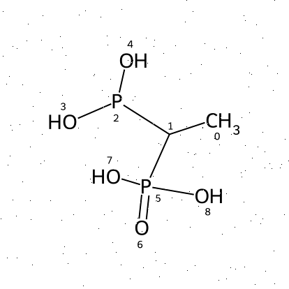 CC(P(O)O)P(=O)(O)O